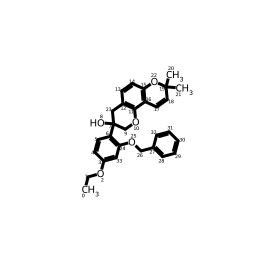 CCOc1ccc(C2(O)COc3c(ccc4c3C=CC(C)(C)O4)C2)c(OCc2ccccc2)c1